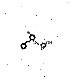 CN1C[C@H](O)C[C@H]1CCOc1ccc(Br)cc1CCc1ccccc1